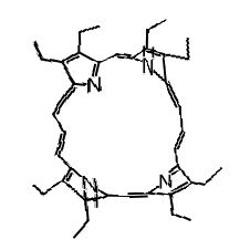 CCC1=C(CC)/C2=C/C=C/C3=C(CC)C(CC)C(/C=C4N=C(/C=C/C=c5\[nH]/c(c(CC)c5CC)=C\C1=N2)C(CC)=C\4CC)N3